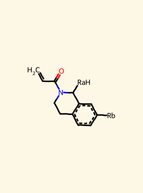 C=CC(=O)N1CCc2cc[c]([Rb])cc2[CH]1[RaH]